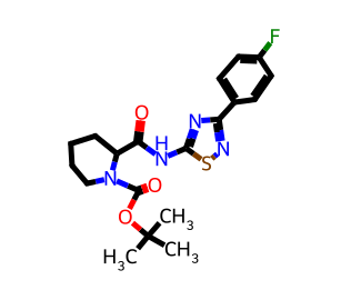 CC(C)(C)OC(=O)N1CCCCC1C(=O)Nc1nc(-c2ccc(F)cc2)ns1